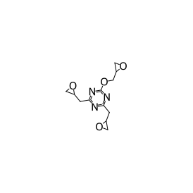 C(Oc1nc(CC2CO2)nc(CC2CO2)n1)C1CO1